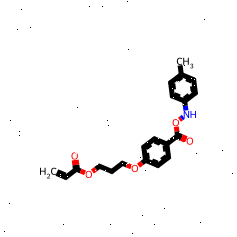 C=CC(=O)OCCCOc1ccc(C(=O)ONc2ccc(C)cc2)cc1